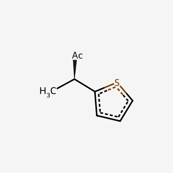 CC(=O)[C@H](C)c1cccs1